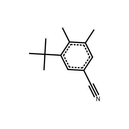 Cc1cc(C#N)cc(C(C)(C)C)c1C